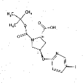 CC(C)(C)OC(=O)N1C[C@H](Oc2ccc(I)cn2)C[C@H]1C(=O)O